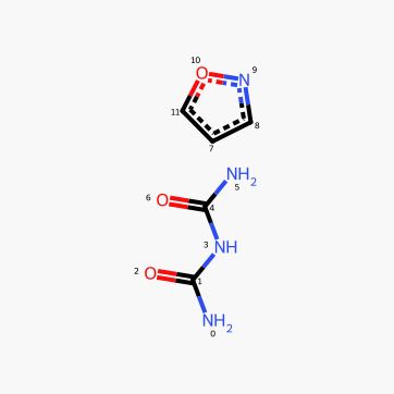 NC(=O)NC(N)=O.c1cnoc1